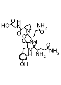 NC(=O)CC[C@H](NC(=O)[C@H](Cc1ccc(O)cc1)NC(=O)[C@@H](N)CCC(N)=O)C(=O)N1CCC[C@H]1C(=O)NCC(=O)O